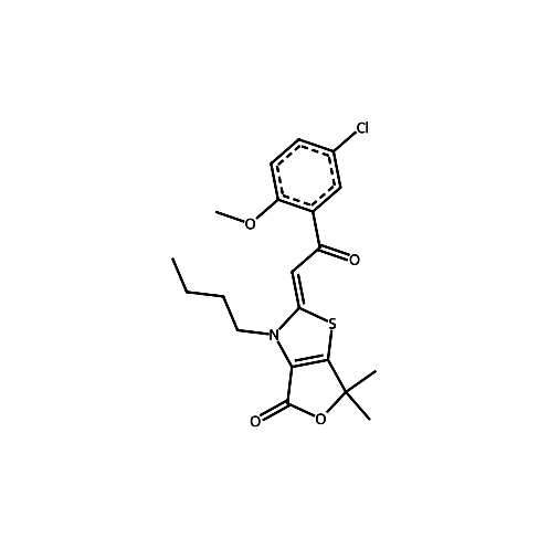 CCCCN1C2=C(S/C1=C\C(=O)c1cc(Cl)ccc1OC)C(C)(C)OC2=O